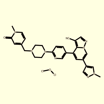 ClOCl.Cn1cc(-c2cc(-c3ccc(N4CCN(Cc5ccn(C)c(=O)c5)CC4)nc3)c3c(C#N)cnn3c2)cn1